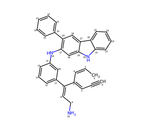 C#C/C=C(\C=C/C)C(=C\CN)/c1cccc(Nc2cc3[nH]c4ccccc4c3cc2-c2ccccc2)c1